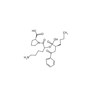 CCCC[C@@H](CC(=O)c1ccccc1)P(=O)(O)OC(CCCCN)C(=O)N1CCC[C@H]1C(=O)O